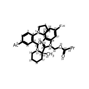 CC(=O)c1ccc(N2CCCC2)c(C(=O)N2CCCC[C@@]2(C)c2nc3ncc(F)cc3n2COC(=O)C(C)C)c1